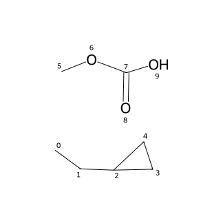 CCC1CC1.COC(=O)O